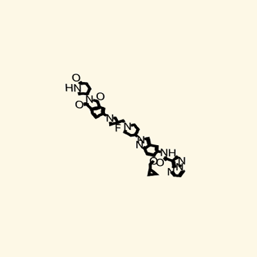 O=C1CCC(N2C(=O)c3ccc(N4CC(F)(CN5CCC(n6cc7cc(NC(=O)c8cnn9cccnc89)c(OCC8CC8)cc7n6)CC5)C4)cc3C2=O)CN1